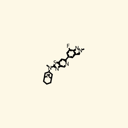 CN(c1nc2cnc(-c3cc(F)c4nn(C)cc4c3)cc2s1)C1CC2CCCC(C1)N2C